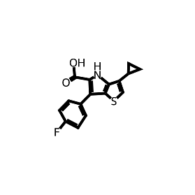 O=C(O)c1[nH]c2c(C3CC3)csc2c1-c1ccc(F)cc1